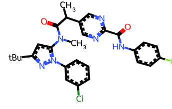 CC(C(=O)N(C)c1cc(C(C)(C)C)nn1-c1cccc(Cl)c1)c1cnc(C(=O)Nc2ccc(F)cc2)nc1